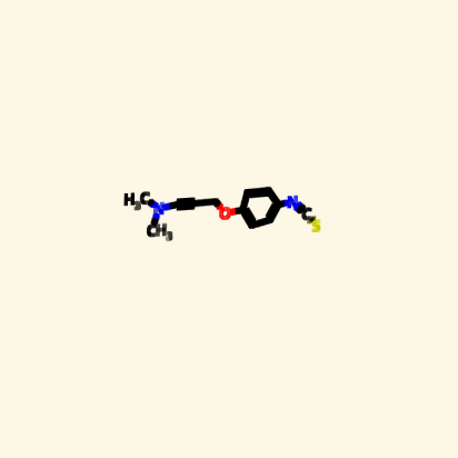 CN(C)C#CCOc1ccc(N=C=S)cc1